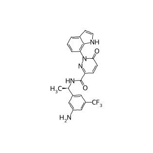 C[C@@H](NC(=O)c1ccc(=O)n(-c2cccc3cc[nH]c23)n1)c1cc(N)cc(C(F)(F)F)c1